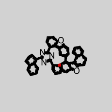 c1ccc(-c2nc(-c3cccc4ccccc34)nc(-c3cccc4oc5ccc(-c6cccc7oc8ccc9ccccc9c8c67)cc5c34)n2)cc1